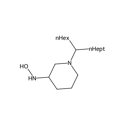 CCCCCCCC(CCCCCC)N1CCCC(NO)C1